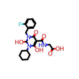 O=C(O)CNC(=O)C1=C(O)N(C2CCCCC2)C(O)N(Cc2ccccc2F)C1=O